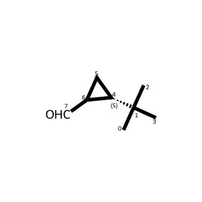 CC(C)(C)[C@H]1CC1C=O